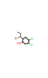 CCC(Br)c1cc(Cl)c(Cl)cc1O